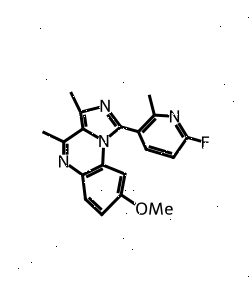 COc1ccc2nc(C)c3c(C)nc(-c4ccc(F)nc4C)n3c2c1